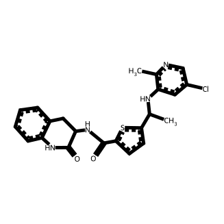 Cc1ncc(Cl)cc1NC(C)c1ccc(C(=O)NC2Cc3ccccc3NC2=O)s1